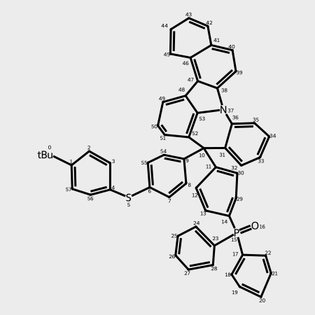 CC(C)(C)c1ccc(Sc2ccc(C3(c4ccc(P(=O)(c5ccccc5)c5ccccc5)cc4)c4ccccc4-n4c5ccc6ccccc6c5c5cccc3c54)cc2)cc1